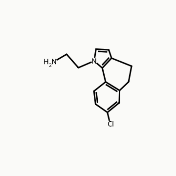 NCCn1ccc2c1-c1ccc(Cl)cc1CC2